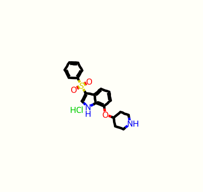 Cl.O=S(=O)(c1ccccc1)c1c[nH]c2c(OC3CCNCC3)cccc12